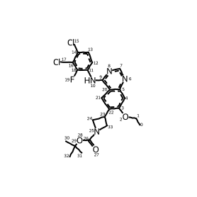 CCOc1cc2ncnc(Nc3ccc(Cl)c(Cl)c3F)c2cc1C1CN(C(=O)OC(C)(C)C)C1